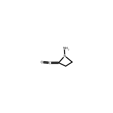 NN1CCC1=C=O